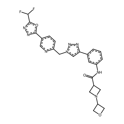 O=C(Nc1cccc(-c2cn(Cc3ccc(-c4nnc(C(F)F)o4)cn3)nn2)c1)C1CN(C2COC2)C1